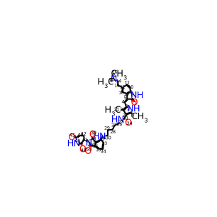 Cc1[nH]c(/C=C2\C(=O)Nc3ccc(CCN(C)C)cc32)c(C)c1C(=O)NCCCCCNc1cccc2c1C(=O)N([C@@H]1CCC(=O)NC1=O)C2=O